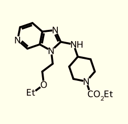 CCOCCn1c(NC2CCN(C(=O)OCC)CC2)nc2ccncc21